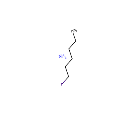 CCCCCCCCI.N